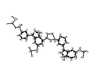 COC(C)CN(C)c1cc(-c2n[nH]c3c(C4CCN(c5cc(-c6n[nH]c7cnc(OC(C)C)cc67)ncn5)C4)nc(OC(C)C)cc23)ncn1